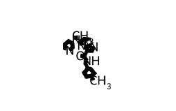 Cc1ccc(CNC(=O)c2cnn3ccc(N(C)c4cccnc4)nc23)cc1